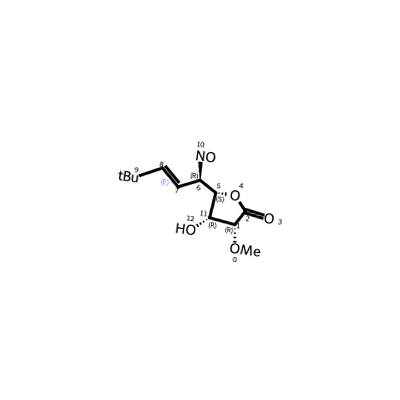 CO[C@H]1C(=O)O[C@@H]([C@@H](/C=C/C(C)(C)C)N=O)[C@H]1O